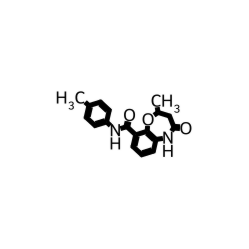 Cc1ccc(NC(=O)c2cccc3c2OC(C)CC(=O)N3)cc1